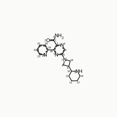 NC(=O)c1ncc(N2CC(C3CCCCN3)C2)nc1-c1ccccn1